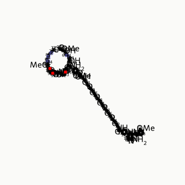 COc1cccc2cc(-c3nc([C@H]4CC[C@H](C(=O)NCCOCCOCCOCCOCCOCCOCCOCCOCCOCCNC(=O)O[C@@H]5CC[C@@H](C[C@@H](N)[C@@H]6C[C@@H](O)[C@H](C)/C=C(\C)[C@@H](O)[C@@H](OC)C(=O)[C@H](C)C[C@H](C)/C=C/C=C/C=C(\C)[C@@H](OC)C[C@@H]7CC[C@@H](C)[C@@](O)(O7)C(=O)C(=O)N7CCCC[C@H]7C(=O)O6)C[C@H]5OC)CC4)n4ncnc(N)c34)[nH]c12